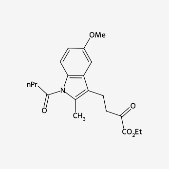 CCCC(=O)n1c(C)c(CCC(=O)C(=O)OCC)c2cc(OC)ccc21